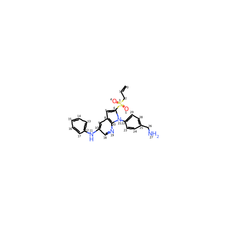 C=CCS(=O)(=O)c1cc2cc(Nc3ccccc3)cnc2n1-c1ccc(CN)cc1